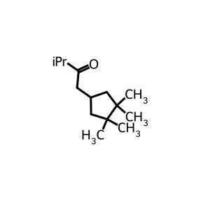 CC(C)C(=O)CC1CC(C)(C)C(C)(C)C1